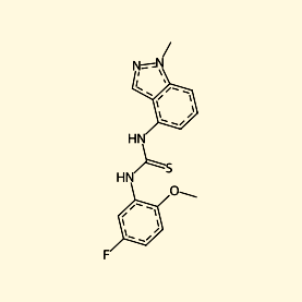 COc1ccc(F)cc1NC(=S)Nc1cccc2c1cnn2C